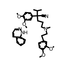 C1=Cc2ccccc2NN=C1.COc1ccc(CCN(C)CCCC(C#N)(c2ccc(OC)c(OC)c2)C(C)C)cc1OC